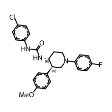 COc1ccc([C@@H]2CN(c3ccc(F)cc3)CC[C@H]2NC(=O)Nc2ccc(Cl)cc2)cc1